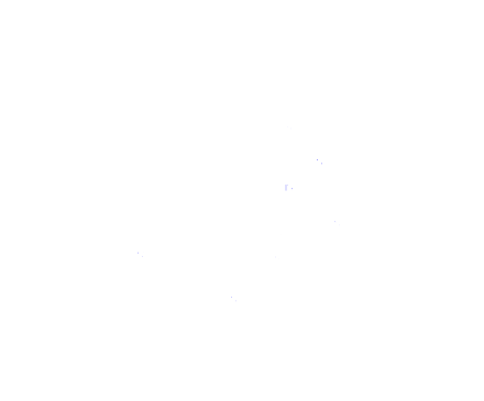 Cc1nsc(Nc2cnc3ccccc3n2)c1C(=O)Nc1ccc(OC2CCNCC2)nc1